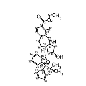 CCOC(=O)c1ccc2c(c1F)O[C@H]1C[C@@H](O)[C@H](CO[Si](c3ccccc3)(c3ccccc3)C(C)(C)C)[C@H]1CC2